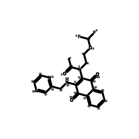 CC(=O)N(CCOC(F)F)C1=C(NCc2cnccn2)C(=O)c2ccccc2C1=O